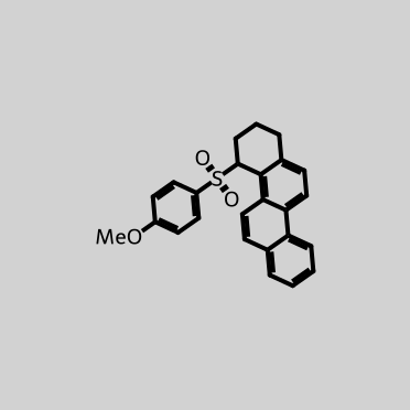 COc1ccc(S(=O)(=O)C2CCCc3ccc4c(ccc5ccccc54)c32)cc1